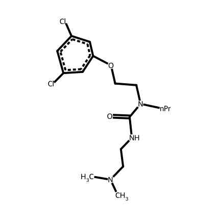 CCCN(CCOc1cc(Cl)cc(Cl)c1)C(=O)NCCN(C)C